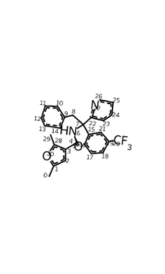 Cc1cc(C(=O)NC(Cc2ccccc2)(c2cccc(C(F)(F)F)c2)c2ccccn2)c(C)o1